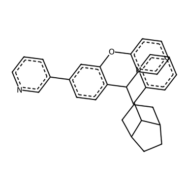 c1ccc(CC2C3CCC2CC(C2c4ccccc4Oc4cc(-c5cccnc5)ccc42)C3)nc1